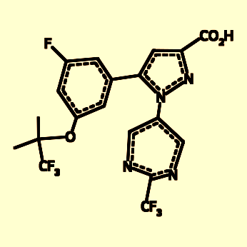 CC(C)(Oc1cc(F)cc(-c2cc(C(=O)O)nn2-c2cnc(C(F)(F)F)nc2)c1)C(F)(F)F